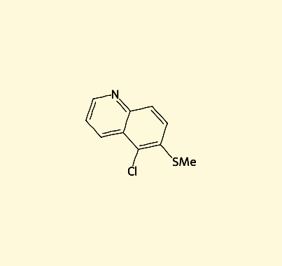 CSc1ccc2ncccc2c1Cl